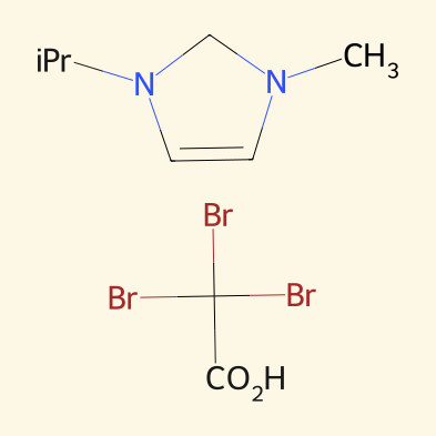 CC(C)N1C=CN(C)C1.O=C(O)C(Br)(Br)Br